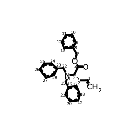 C=CC[C@@H](C(=O)OCc1ccccc1)N(Cc1ccccc1)Cc1ccccc1